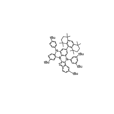 CC(C)(C)c1ccc(N2c3ccc(C(C)(C)C)cc3B3c4sc5ccc(C(C)(C)C)cc5c4N(c4cc(C(C)(C)C)cc(C(C)(C)C)c4)c4cc(-c5c6c(cc7c5C(C)(C)CCC7(C)C)C(C)(C)CCC6(C)C)cc2c43)cc1